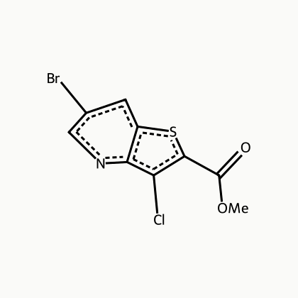 COC(=O)c1sc2cc(Br)cnc2c1Cl